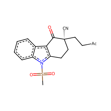 CC(=O)CC[C@@]1(C#N)CCc2c(c3ccccc3n2S(C)(=O)=O)C1=O